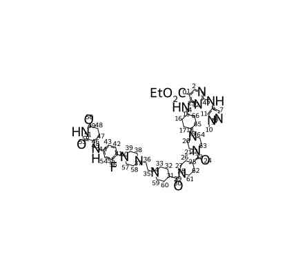 CCOC(=O)c1cnc(Nc2cnn(C)c2)nc1NC1CCC(N2CCN(C(=O)C3CCN(C(=O)C4CCN(CCN5CCN(c6ccc(NC7CCC(=O)NC7=O)cc6F)CC5)CC4)CC3)CC2)CC1